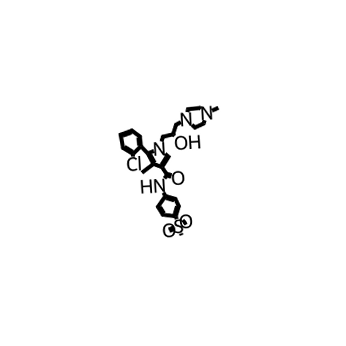 Cc1c(C(=O)Nc2ccc(S(C)(=O)=O)cc2)cn(CC(O)CN2CCN(C)CC2)c1-c1ccccc1Cl